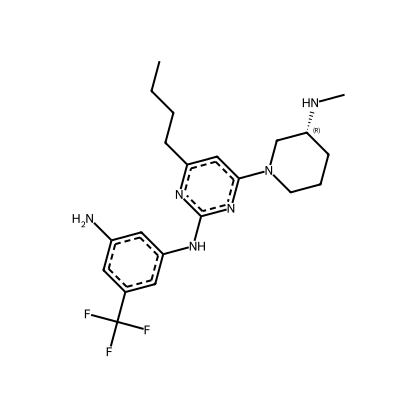 CCCCc1cc(N2CCC[C@@H](NC)C2)nc(Nc2cc(N)cc(C(F)(F)F)c2)n1